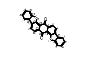 O=C1c2ccc3c(sc4ccccc43)c2C(=O)c2ccc3c(sc4ccccc43)c21